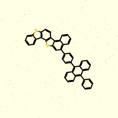 c1ccc(-c2c3ccccc3c(-c3ccc(-c4cc5sc6c(ccc7sc8ccccc8c76)c5c5ccccc45)cc3)c3ccccc23)cc1